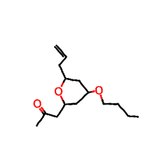 C=CCC1CC(OCCCC)CC(CC(C)=O)O1